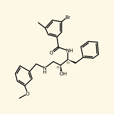 COc1cccc(CNC[C@H](O)[C@H](Cc2ccccc2)NC(=O)c2cc(C)cc(Br)c2)c1